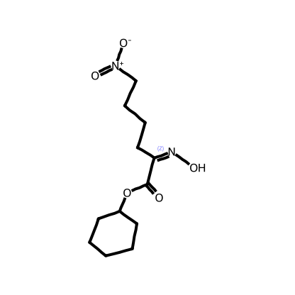 O=C(OC1CCCCC1)/C(CCCC[N+](=O)[O-])=N\O